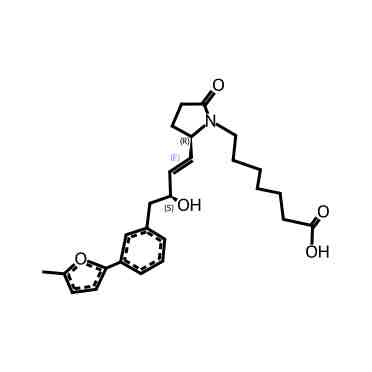 Cc1ccc(-c2cccc(C[C@H](O)/C=C/[C@H]3CCC(=O)N3CCCCCCC(=O)O)c2)o1